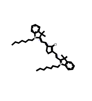 CCCCCCCN1/C(=C/C=C2\CCC(/C=C/C3=[N+](CCCCCCC)c4ccccc4C3(C)C)=C2Cl)C(C)(C)c2ccccc21